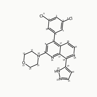 Clc1cc(Cl)cc(-c2cc(N3CCOCC3)nc3c(-c4ccn[nH]4)nccc23)c1